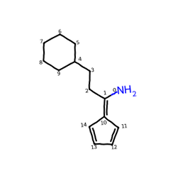 NC(CCC1CCCCC1)=C1C=CC=C1